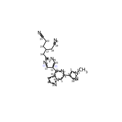 Cn1cc(-c2cn3nccc3c(C(/C=N\CCC(CC#N)CCC#N)=C/N)n2)cn1